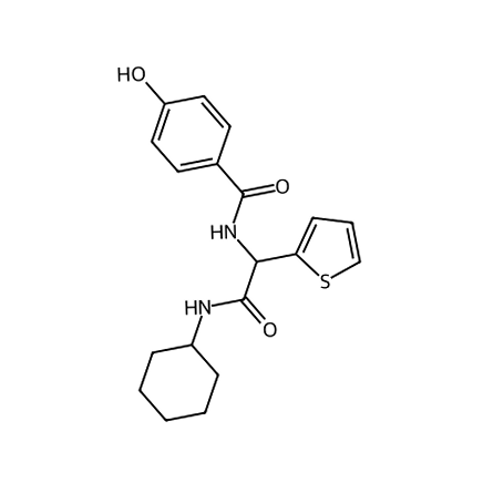 O=C(NC(C(=O)NC1CCCCC1)c1cccs1)c1ccc(O)cc1